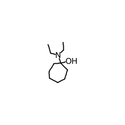 CCN(CC)C1(O)CCCCCC1